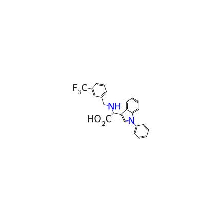 O=C(O)C(NCc1cccc(C(F)(F)F)c1)c1cn(-c2ccccc2)c2ccccc12